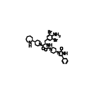 Nc1c(Br)cc(C[C@@H](NC(=O)N2CCC(n3cc(-c4ccccc4)[nH]c3=O)CC2)C(=O)N2CCC(C3CCCCCN3)CC2)cc1Br